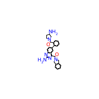 Nc1nc(C(=O)N2Cc3ccccc3C2)c2cc(-c3ccccc3C(=O)N3CCC(N)C3)ccc2n1